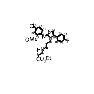 CCOC(=O)CCNCCCn1c(-c2ccc(F)cc2)csc1=Nc1ccc(Cl)cc1OC